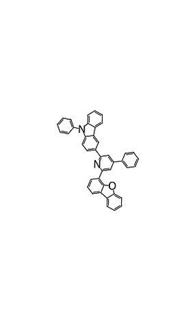 c1ccc(-c2cc(-c3ccc4c(c3)c3ccccc3n4-c3ccccc3)nc(-c3cccc4c3oc3ccccc34)c2)cc1